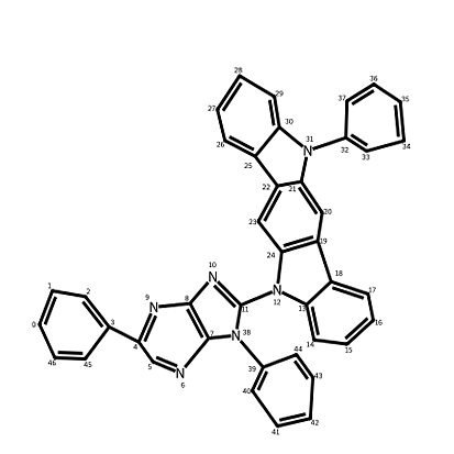 c1ccc(-c2cnc3c(n2)nc(-n2c4ccccc4c4cc5c(cc42)c2ccccc2n5-c2ccccc2)n3-c2ccccc2)cc1